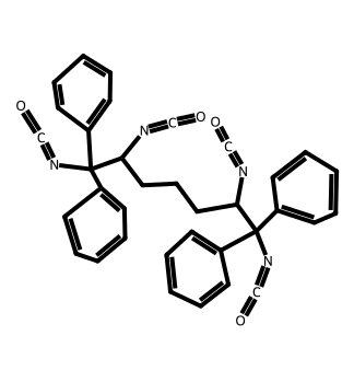 O=C=NC(CCCC(N=C=O)C(N=C=O)(c1ccccc1)c1ccccc1)C(N=C=O)(c1ccccc1)c1ccccc1